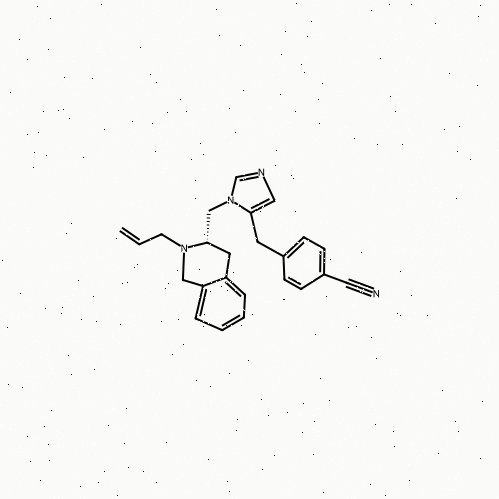 C=CCN1Cc2ccccc2C[C@H]1Cn1cncc1Cc1ccc(C#N)cc1